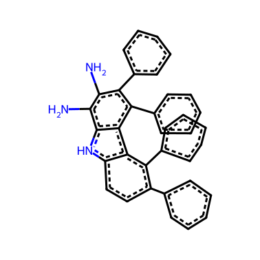 Nc1c(-c2ccccc2)c(-c2ccccc2)c2c([nH]c3ccc(-c4ccccc4)c(-c4ccccc4)c32)c1N